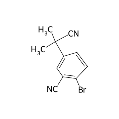 CC(C)(C#N)c1ccc(Br)c(C#N)c1